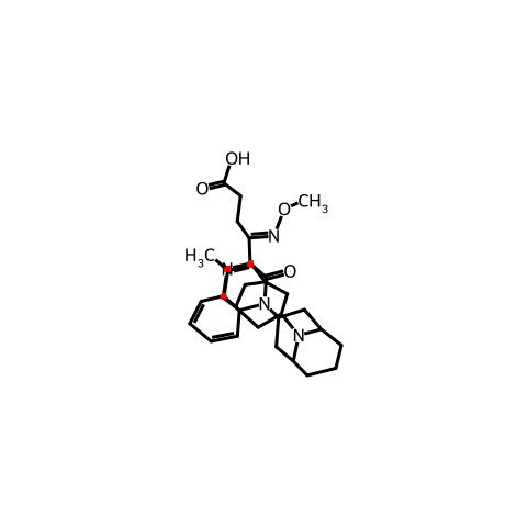 CO/N=C(\CCC(=O)O)C1=NC2C=CC=CC2N(C2CC3CCCC(C2)N3C2CC3CC(C)CC(C3)C2)C1=O